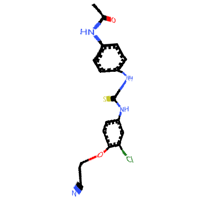 CC(=O)Nc1ccc(NC(=S)Nc2ccc(OCC#N)c(Cl)c2)cc1